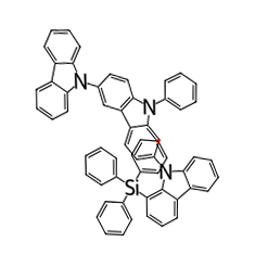 c1ccc(-n2c3ccc(-n4c5ccccc5c5ccccc54)cc3c3ccc(-n4c5ccccc5c5cccc([Si](c6ccccc6)(c6ccccc6)c6ccccc6)c54)cc32)cc1